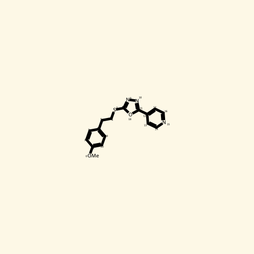 COc1ccc(CCSc2nnc(-c3ccncc3)o2)cc1